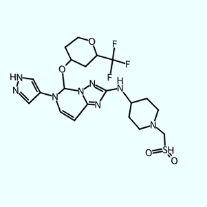 O=[SH](=O)CN1CCC(Nc2nc3n(n2)C(OC2CCOC(C(F)(F)F)C2)N(c2cn[nH]c2)C=C3)CC1